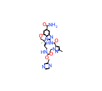 CCn1nc(C)cc1C(=O)Nc1nc2cc(C(N)=O)cc3c2n1[C@@](C)(/C=C/CNC(=O)OCc1cnccn1)CO3